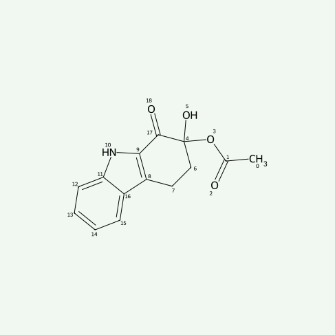 CC(=O)OC1(O)CCc2c([nH]c3ccccc23)C1=O